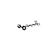 CCNCCSCCOc1cccc(-c2ccsc2)c1